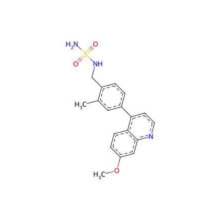 COc1ccc2c(-c3ccc(CNS(N)(=O)=O)c(C)c3)ccnc2c1